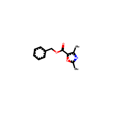 CC(C)(C)c1nc(C(C)(C)C)c(C(=O)OCc2ccccc2)o1